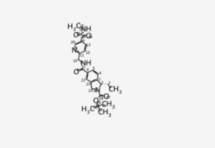 CC[C@H]1c2ccc(C(=O)NCc3ccc(S(=O)(=O)NC)cn3)cc2CN1C(=O)OC(C)(C)C